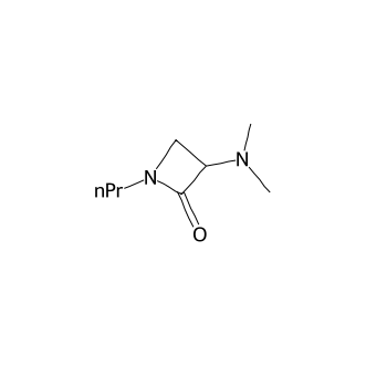 CCCN1CC(N(C)C)C1=O